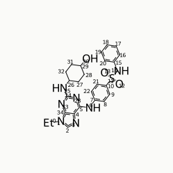 CCn1cnc2c(Nc3ccc(S(=O)(=O)Nc4ccccc4)cc3)nc(NC3CCC(O)CC3)nc21